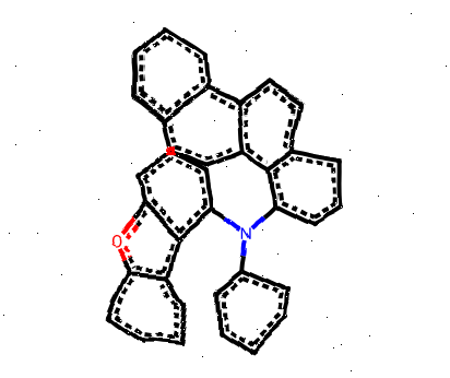 c1ccc(N(c2cccc3ccc4c5ccccc5ccc4c23)c2cccc3oc4ccccc4c23)cc1